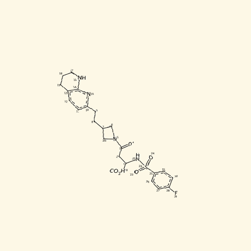 O=C(O)C(CC(=O)N1CC(CCc2ccc3c(n2)NCCC3)C1)NS(=O)(=O)c1ccc(F)cc1